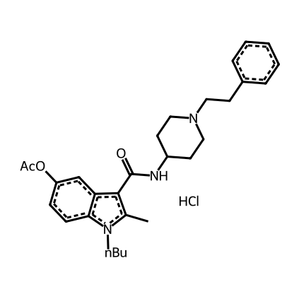 CCCCn1c(C)c(C(=O)NC2CCN(CCc3ccccc3)CC2)c2cc(OC(C)=O)ccc21.Cl